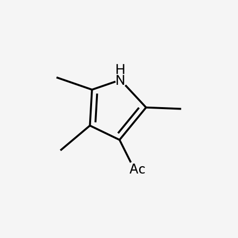 CC(=O)c1c(C)[nH]c(C)c1C